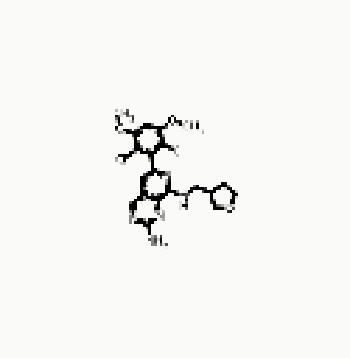 COc1cc(OC)c(Cl)c(-c2cc3cnc(N)nc3c(NCC3CCOC3)n2)c1Cl